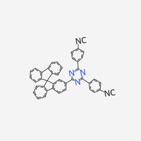 [C-]#[N+]c1ccc(-c2nc(-c3ccc([N+]#[C-])cc3)nc(-c3ccc4c(c3)C3(c5ccccc5-c5ccccc53)c3ccccc3-4)n2)cc1